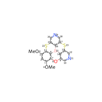 COc1cc(OC)c2c3c1Oc1cncc4c1B3c1c(cncc1S2)S4